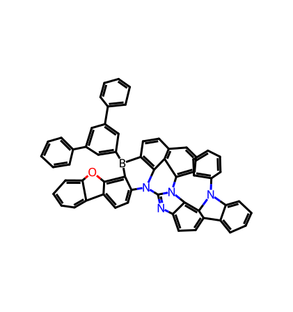 c1ccc(-c2cc(B3c4c(ccc5c4oc4ccccc45)-n4c5c3ccc3cccc(c35)n3c5c(ccc6c7ccccc7n(-c7ccccc7)c65)nc43)cc(-c3ccccc3)c2)cc1